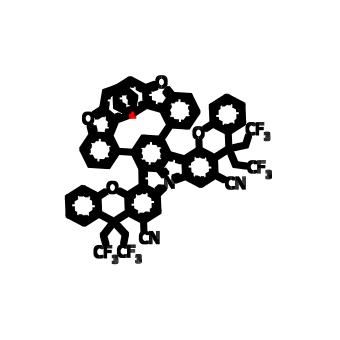 N#Cc1cc2c(c3c1C(CC(F)(F)F)(CC(F)(F)F)c1ccccc1O3)c1c(-c3cccc4oc5ccccc5c34)cc(-c3cccc4oc5ccccc5c34)c3c4c5c(c(C#N)cc4n2c13)C(CC(F)(F)F)(CC(F)(F)F)c1ccccc1O5